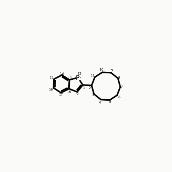 C1=C(C2CCCCCCCCC2)[P]c2ccccc21